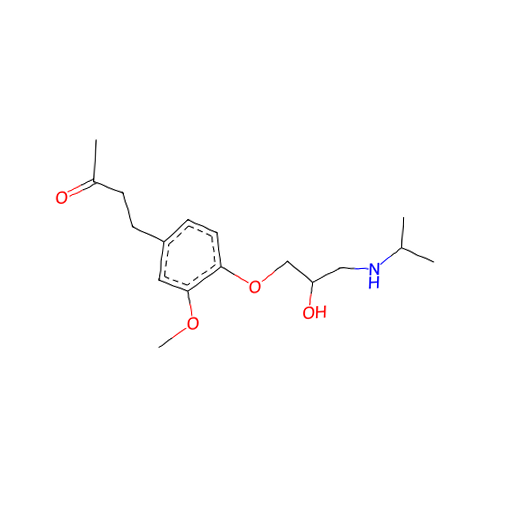 COc1cc(CCC(C)=O)ccc1OCC(O)CNC(C)C